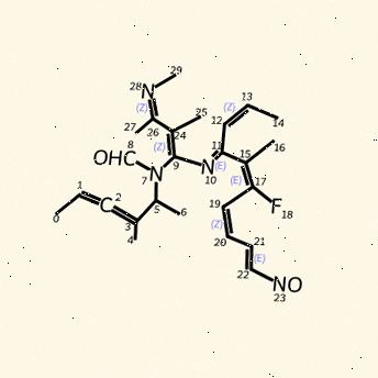 CC=C=C(C)C(C)N(C=O)C(/N=C(\C=C/C)C(/C)=C(F)\C=C/C=C/N=O)=C(C)\C(C)=N/C